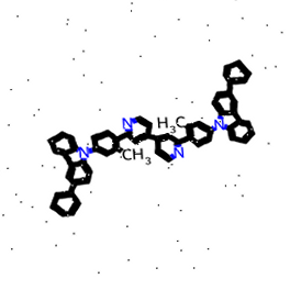 Cc1cc(-n2c3ccccc3c3cc(-c4ccccc4)ccc32)ccc1-c1cc(-c2ccnc(-c3ccc(-n4c5ccccc5c5cc(-c6ccccc6)ccc54)cc3C)c2)ccn1